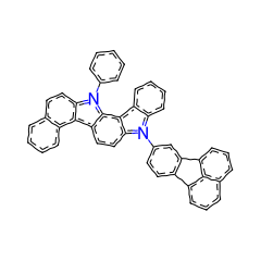 c1ccc(-n2c3ccc4ccccc4c3c3ccc4c(c5ccccc5n4-c4ccc5c(c4)-c4cccc6cccc-5c46)c32)cc1